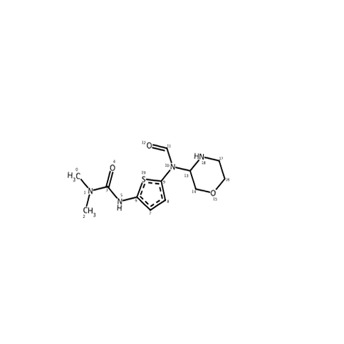 CN(C)C(=O)Nc1ccc(N(C=O)C2COCCN2)s1